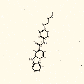 COCCOc1ccc(NC(=O)C2=NC3Nc4ccccc4N3C=C2)cn1